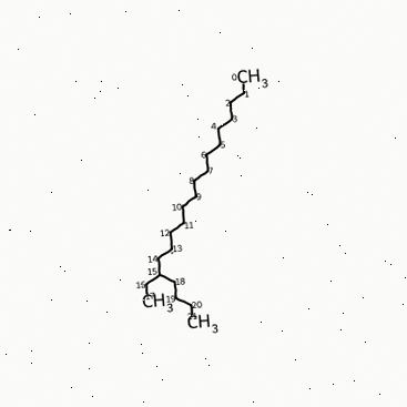 CCCCCCCCCCCCC[CH]CC(CC)CCCC